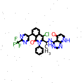 C[C@H](Nc1ncnc2[nH]ccc(=O)c12)c1c(Cl)c2cccc(-c3cnc(C(F)(F)F)nc3)c2c(=O)n1-c1ccccc1